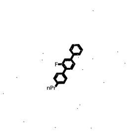 CCCc1ccc(-c2ccc(-c3ccccc3)cc2F)cc1